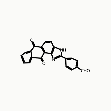 O=Cc1ccc(-c2nc3c4c(ccc3[nH]2)C(=O)c2ccccc2C4=O)cc1